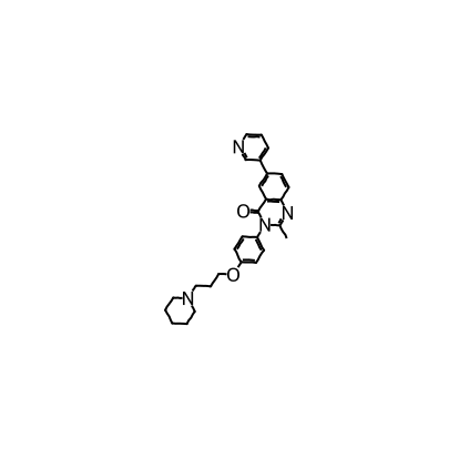 Cc1nc2ccc(-c3cccnc3)cc2c(=O)n1-c1ccc(OCCCN2CCCCC2)cc1